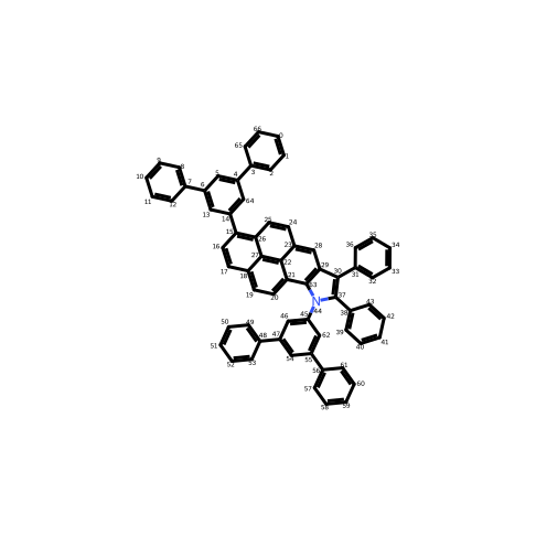 c1ccc(-c2cc(-c3ccccc3)cc(-c3ccc4ccc5c6c(ccc3c46)cc3c(-c4ccccc4)c(-c4ccccc4)n(-c4cc(-c6ccccc6)cc(-c6ccccc6)c4)c35)c2)cc1